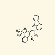 Cc1c(-c2cc3c4c(cccc4[n+]2C)-c2ccccc2-3)cc(C(C)(C)C)c2ccccc12